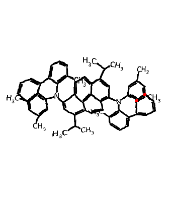 Cc1cc(C)cc(N(c2c(C)cccc2-c2ccccc2)c2cc(C(C)C)c3ccc4c(N(c5cc(C)cc(C)c5)c5c(C)cccc5-c5ccccc5)cc(C(C)C)c5ccc2c3c54)c1